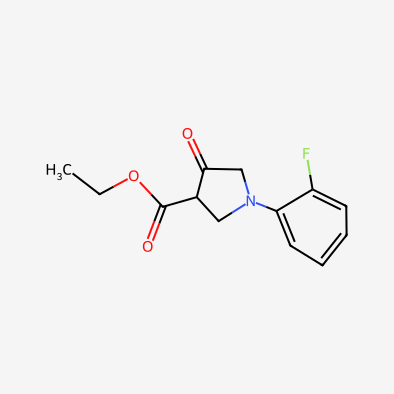 CCOC(=O)C1CN(c2ccccc2F)CC1=O